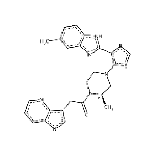 Cc1ccc2[nH]c(-c3ncsc3N3CCN(C(=O)Cn4cnc5cccnc54)[C@H](C)C3)nc2c1